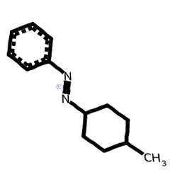 CC1CCC(/N=N/c2ccccc2)CC1